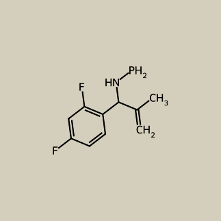 C=C(C)C(NP)c1ccc(F)cc1F